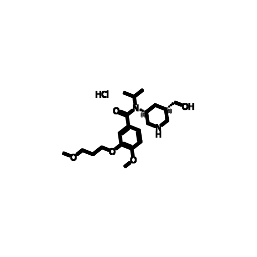 COCCCOc1cc(C(=O)N(C(C)C)[C@H]2CNC[C@@H](CO)C2)ccc1OC.Cl